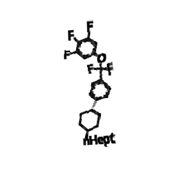 CCCCCCC[C@H]1CC[C@H](c2ccc(C(F)(F)Oc3cc(F)c(F)c(F)c3)cc2)CC1